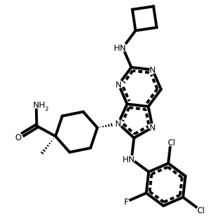 C[C@]1(C(N)=O)CC[C@H](n2c(Nc3c(F)cc(Cl)cc3Cl)nc3cnc(NC4CCC4)nc32)CC1